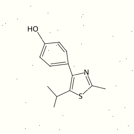 Cc1nc(-c2ccc(O)cc2)c(C(C)C)s1